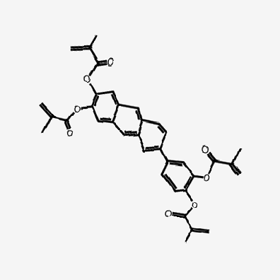 C=C(C)C(=O)Oc1ccc(-c2ccc3cc4cc(OC(=O)C(=C)C)c(OC(=O)C(=C)C)cc4cc3c2)cc1OC(=O)C(=C)C